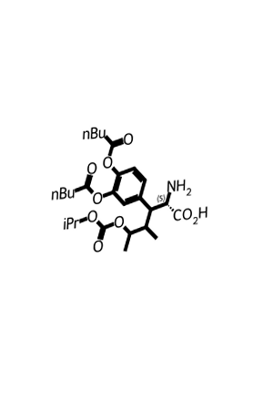 CCCCC(=O)Oc1ccc(C(C(C)C(C)OC(=O)OC(C)C)[C@H](N)C(=O)O)cc1OC(=O)CCCC